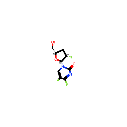 O=c1nc(F)c(F)cn1[C@@H]1O[C@H](CO)C[C@@H]1F